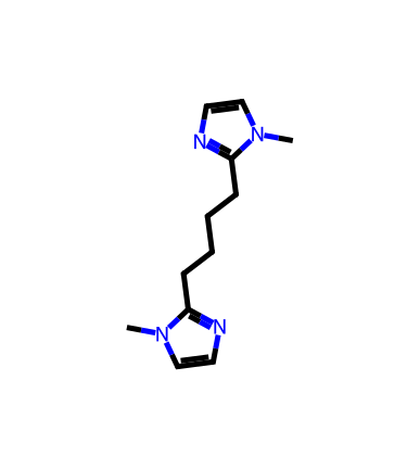 Cn1ccnc1CCCCc1nccn1C